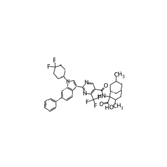 CC1CC2CC(C)C(NC(=O)c3cnc(-c4cn(C5CCC(F)(F)CC5)c5cc(-c6ccccc6)ccc45)nc3C(F)(F)F)(C(=O)O)C(C1)C2